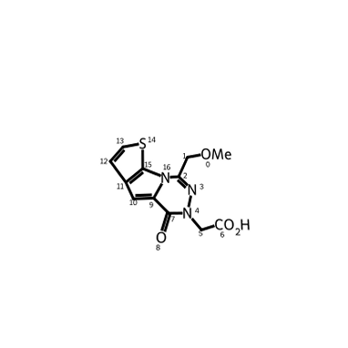 COCc1nn(CC(=O)O)c(=O)c2cc3ccsc3n12